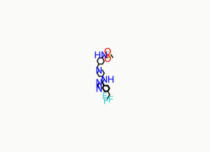 CCS(=O)(=O)NC1CCC(CN2CCC(Nc3ncnc4cc(CC(F)(F)F)ccc34)CC2)CC1